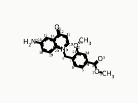 COC(=O)c1ccc(Cn2ccc(=O)c3cc(N)ccc32)c(OC)c1